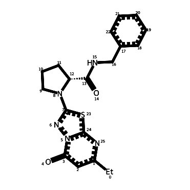 CCc1cc(=O)n2nc(N3CCC[C@@H]3C(=O)NCc3ccccc3)sc2n1